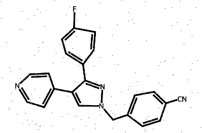 N#Cc1ccc(Cn2cc(-c3ccncc3)c(-c3ccc(F)cc3)n2)cc1